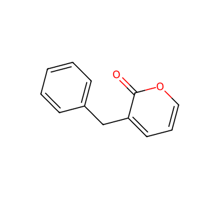 O=c1occcc1Cc1ccccc1